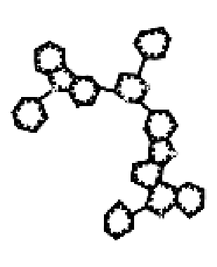 c1ccc(-c2cc(-c3ccc4c(c3)c3ccccc3n4-c3ccccc3)nc(-c3ccc4oc5c(ccc6c(-c7ccccc7)nc7ccccc7c65)c4c3)n2)cc1